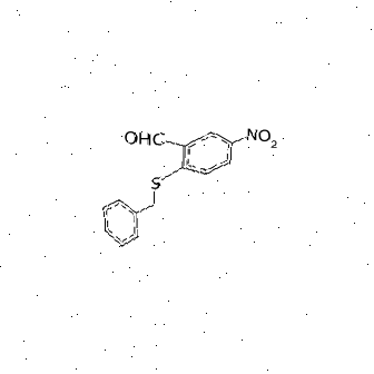 O=Cc1cc([N+](=O)[O-])ccc1SCc1ccccc1